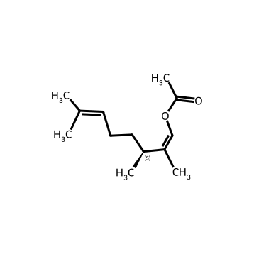 CC(=O)OC=C(C)[C@@H](C)CCC=C(C)C